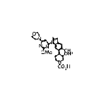 COc1nc(N2CCOCC2)cc(-n2ncc3cc(C)c(C4CCN(C(=O)O)CC4O)cc32)n1